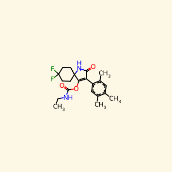 CCNC(=O)OC1=C(c2cc(C)c(C)cc2C)C(=O)NC12CCC(F)(F)CC2